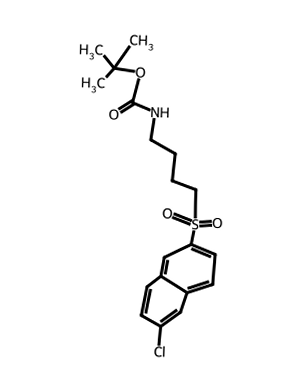 CC(C)(C)OC(=O)NCCCCS(=O)(=O)c1ccc2cc(Cl)ccc2c1